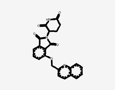 O=C1CCC(N2C(=O)c3cccc(OCc4ccc5ccccc5n4)c3C2=O)C(=O)N1